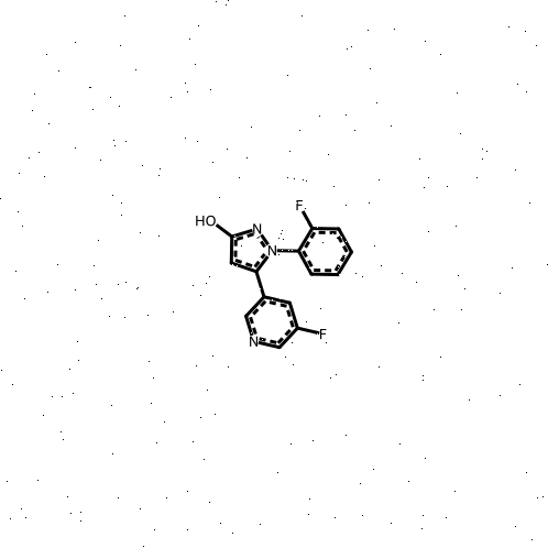 Oc1cc(-c2cncc(F)c2)n(-c2ccccc2F)n1